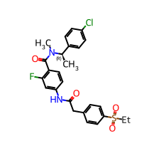 CCS(=O)(=O)c1ccc(CC(=O)Nc2ccc(C(=O)N(C)[C@H](C)c3ccc(Cl)cc3)c(F)c2)cc1